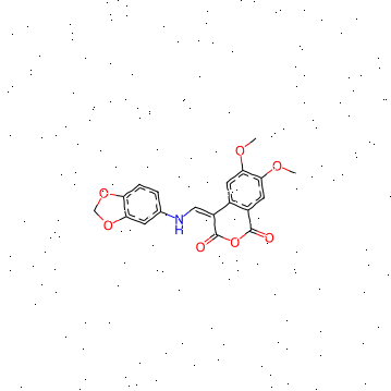 COc1cc2c(cc1OC)/C(=C/Nc1ccc3c(c1)OCO3)C(=O)OC2=O